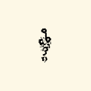 Cc1ccc(O)c(Cn2c(NC3CCNC(CCN4CCOCC4)C3)nc3ccc(CCc4ccccc4)cc32)n1